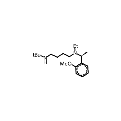 CCN(CCCCNC(C)(C)C)[C@@H](C)c1ccccc1OC